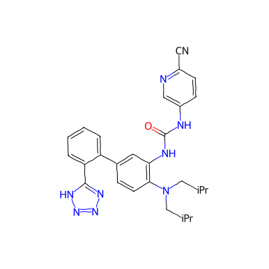 CC(C)CN(CC(C)C)c1ccc(-c2ccccc2-c2nnn[nH]2)cc1NC(=O)Nc1ccc(C#N)nc1